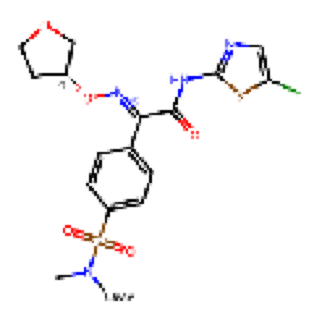 CON(C)S(=O)(=O)c1ccc(/C(=N\O[C@@H]2CCOC2)C(=O)Nc2ncc(F)s2)cc1